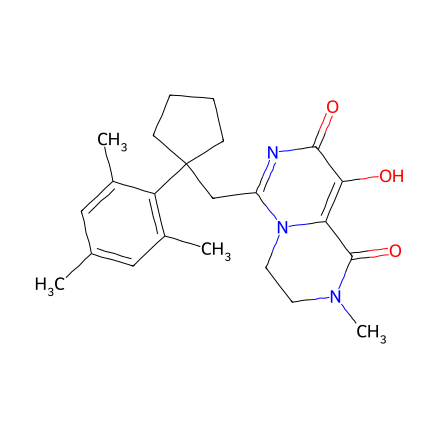 Cc1cc(C)c(C2(Cc3nc(=O)c(O)c4n3CCN(C)C4=O)CCCC2)c(C)c1